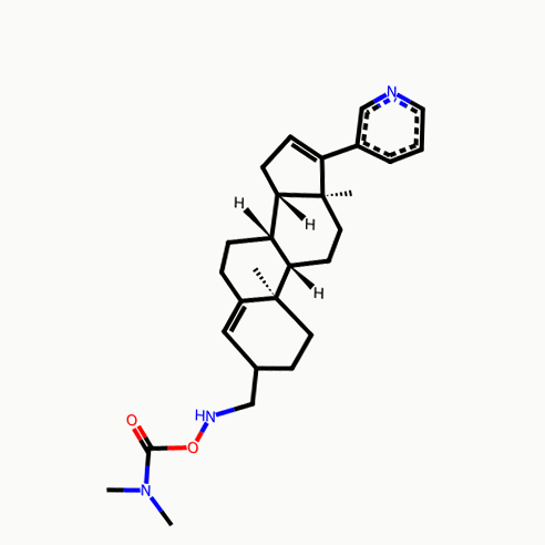 CN(C)C(=O)ONCC1C=C2CC[C@H]3[C@H](CC[C@]4(C)C(c5cccnc5)=CC[C@@H]34)[C@@]2(C)CC1